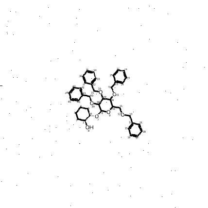 O[C@H]1CCCC[C@@H]1OC1OC(COCc2ccccc2)C(OCc2ccccc2)C(OCc2ccccc2)C1OCc1ccccc1